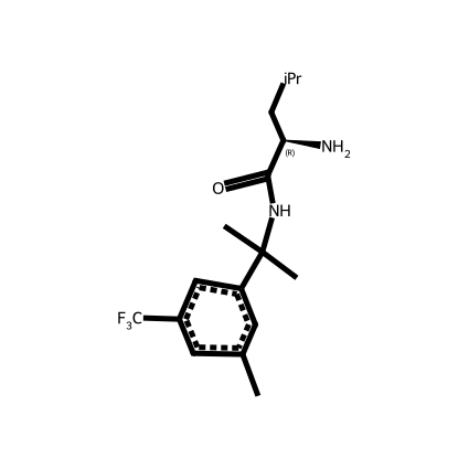 Cc1cc(C(F)(F)F)cc(C(C)(C)NC(=O)[C@H](N)CC(C)C)c1